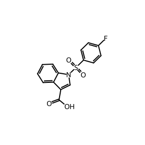 O=C(O)c1cn(S(=O)(=O)c2ccc(F)cc2)c2ccccc12